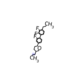 C/C=C/C1CCC(c2ccc(-c3ccc(CCC)c(F)c3F)c(F)c2)OC1